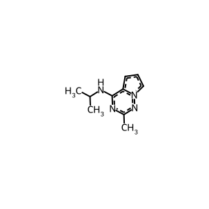 Cc1nc(NC(C)C)c2cccn2n1